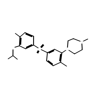 CN1CCN(c2cc(S(=O)(=O)c3ccc(F)c(OC(F)F)c3)ccc2O)CC1